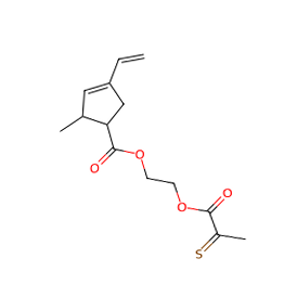 C=CC1=CC(C)C(C(=O)OCCOC(=O)C(C)=S)C1